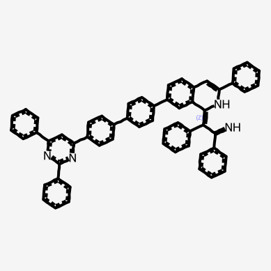 N=C(/C(=C1\NC(c2ccccc2)=Cc2ccc(-c3ccc(-c4ccc(-c5cc(-c6ccccc6)nc(-c6ccccc6)n5)cc4)cc3)cc21)c1ccccc1)c1ccccc1